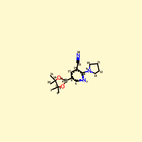 CC1(C)OB(c2cnc(N3CCCC3)c(C#N)c2)OC1(C)C